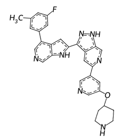 Cc1cc(F)cc(-c2cncc3[nH]c(-c4n[nH]c5cnc(-c6cncc(OC7CCNCC7)c6)cc45)cc23)c1